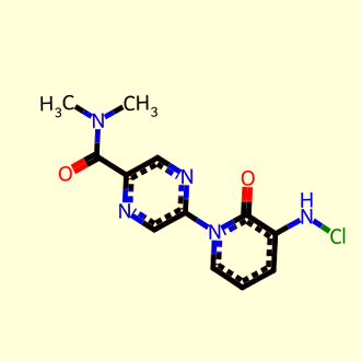 CN(C)C(=O)c1cnc(-n2cccc(NCl)c2=O)cn1